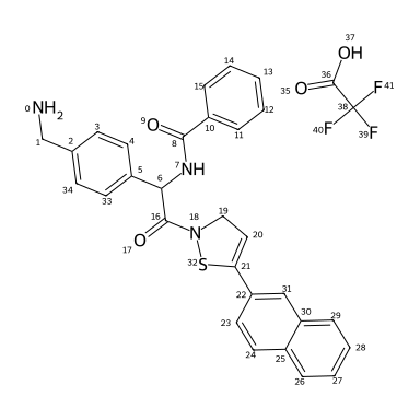 NCc1ccc(C(NC(=O)c2ccccc2)C(=O)N2CC=C(c3ccc4ccccc4c3)S2)cc1.O=C(O)C(F)(F)F